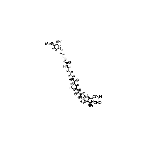 CCCc1cc(CCCCOCC(=O)NCCCCCNC(=O)c2cccc(NC(=O)[C@@H]3C[C@H](SC4=C(C(=O)O)N(C=O)C(C(C)C)[C@H]4C)CN3)c2)ccc1OC